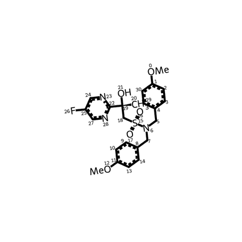 COc1ccc(CN(Cc2ccc(OC)cc2)S(=O)(=O)C[C@@](C)(O)c2ncc(F)cn2)cc1